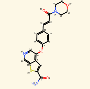 NC(=O)c1cc2c(Oc3ccc(C=CC(=O)N4CCOCC4)cc3)cncc2s1